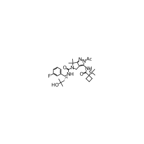 CC(=O)n1nc2c(c1NC(=O)C1([Si](C)(C)C)CCC1)CN(C(=O)N[C@H](CC(C)(C)O)c1cccc(F)c1)C2(C)C